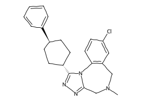 CN1Cc2cc(Cl)ccc2-n2c(nnc2[C@H]2CC[C@H](c3ccccc3)CC2)C1